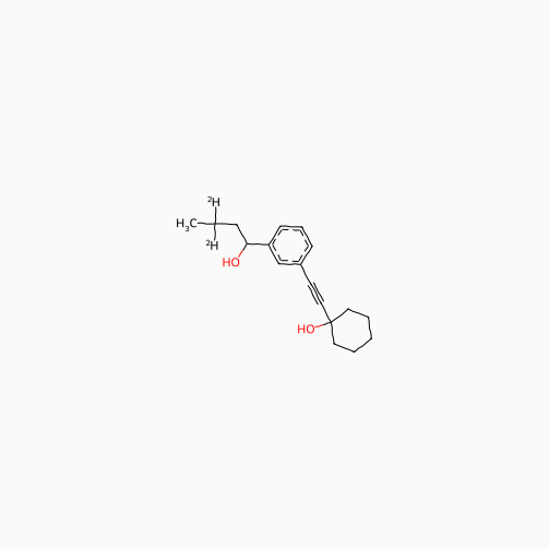 [2H]C([2H])(C)CC(O)c1cccc(C#CC2(O)CCCCC2)c1